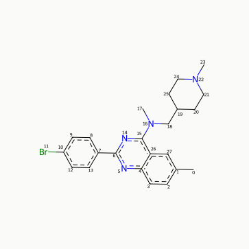 Cc1ccc2nc(-c3ccc(Br)cc3)nc(N(C)CC3CCN(C)CC3)c2c1